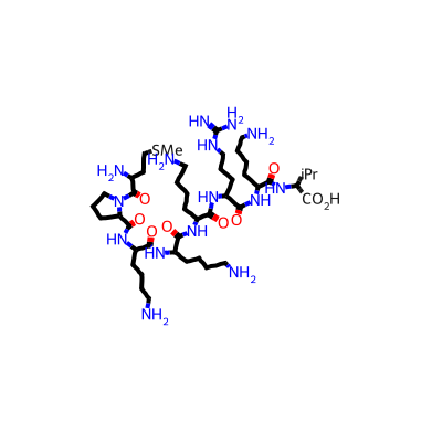 CSCCC(N)C(=O)N1CCCC1C(=O)NC(CCCCN)C(=O)NC(CCCCN)C(=O)NC(CCCCN)C(=O)NC(CCCNC(=N)N)C(=O)NC(CCCCN)C(=O)NC(C(=O)O)C(C)C